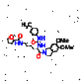 COc1cc2c(cc1OC)CN(C(=O)C(CCCCNC(=O)c1ccco1)NC(=O)Nc1ccc(C)cc1)CC2